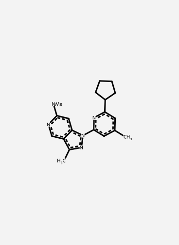 CNc1cc2c(cn1)c(C)nn2-c1cc(C)cc(C2CCCC2)n1